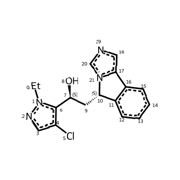 CCn1ncc(Cl)c1[C@@H](O)C[C@H]1c2ccccc2-c2cncn21